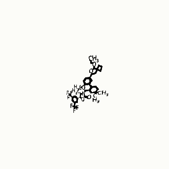 CCOC(=O)C1(CCc2ccc(OC)c(C3=C(CN4C(=O)O[C@H](c5cc(C(F)(F)F)cc(C(F)(F)F)c5)[C@@H]4C)CC(C)(C)CC3)c2)CCC1